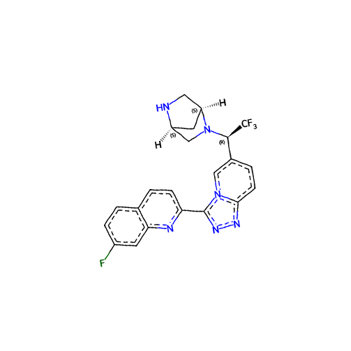 Fc1ccc2ccc(-c3nnc4ccc([C@@H](N5C[C@@H]6C[C@H]5CN6)C(F)(F)F)cn34)nc2c1